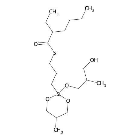 CCCCC(CC)C(=O)SCCC[Si]1(OCC(C)CO)OCC(C)CO1